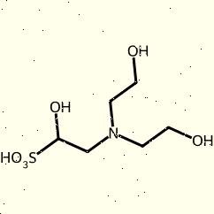 O=S(=O)(O)C(O)CN(CCO)CCO